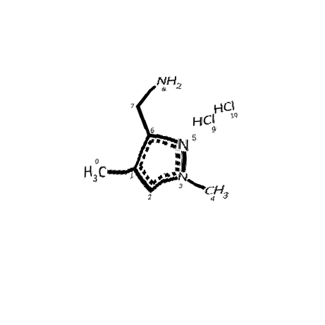 Cc1cn(C)nc1CN.Cl.Cl